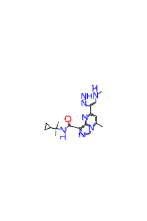 CN/C=C(\N=N)c1cc(C)n2cnc(C(=O)NC(C)(C)C3CC3)c2n1